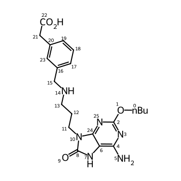 CCCCOc1nc(N)c2[nH]c(=O)n(CCCNCc3cccc(CC(=O)O)c3)c2n1